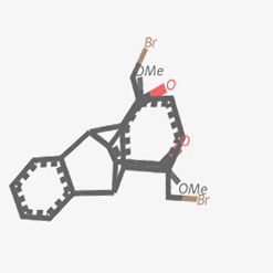 COC(=O)C1=C(C(=O)OC)C2c3ccccc3C1c1c(CBr)ccc(CBr)c12